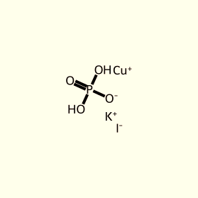 O=P([O-])(O)O.[Cu+].[I-].[K+]